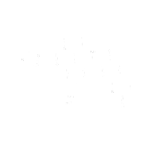 COc1cc2c(cc1CNC1CCCN(C(=O)Cn3ccnc3)C1c1ccccc1)N(C)C(=O)CC2.Cl.Cl